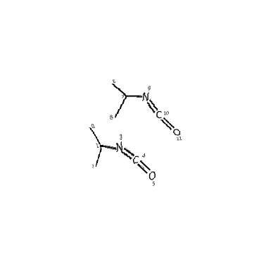 CC(C)N=C=O.CC(C)N=C=O